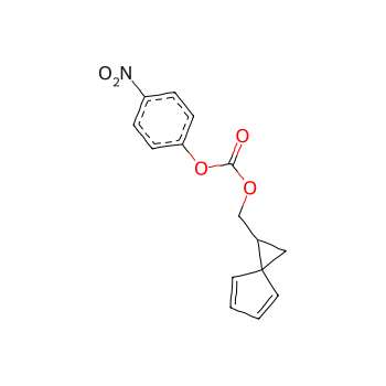 O=C(OCC1CC12C=CC=C2)Oc1ccc([N+](=O)[O-])cc1